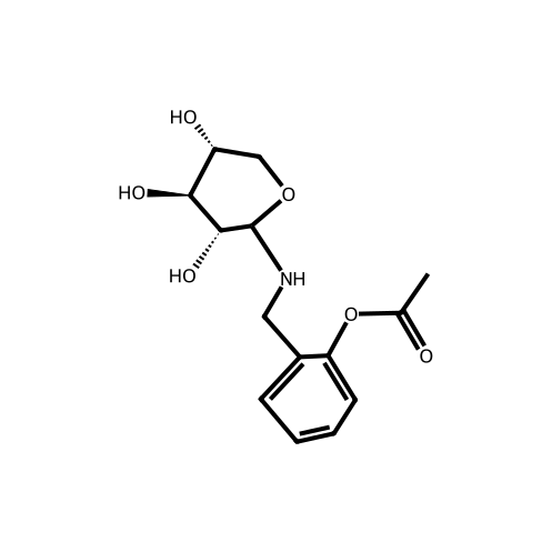 CC(=O)Oc1ccccc1CNC1OC[C@@H](O)[C@H](O)[C@H]1O